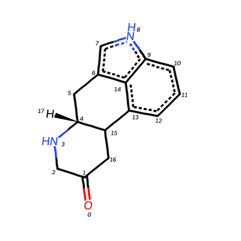 O=C1CN[C@@H]2Cc3c[nH]c4cccc(c34)C2C1